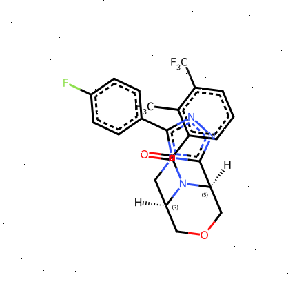 Cc1c(C(=O)N2[C@H]3COC[C@@H]2c2nnc(-c4ccc(F)cc4)n2C3)cccc1C(F)(F)F